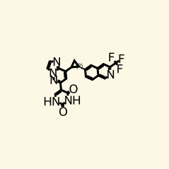 O=c1[nH]cc(-c2cc(C3C[C@H]3c3ccc4cnc(C(F)(F)F)cc4c3)c3nccn3n2)c(=O)[nH]1